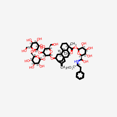 C=C1CC23CCC4[C@](C)(C(=O)OC5O[C@H](C(O)N[C@H](Cc6ccccc6)C(=O)O)[C@@H](O)[C@H](O)[C@H]5O)CCC[C@@]4(C)[C@@H]2CC(O[C@@H]2O[C@H](CO)[C@@H](O)C(O[C@@H]4O[C@H](CO)[C@@H](O)[C@H](O)[C@H]4O)[C@H]2O[C@@H]2O[C@H](CO)[C@@H](O)[C@H](O)[C@H]2O)C1C3